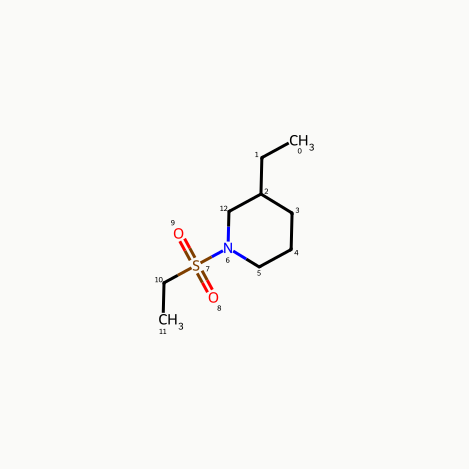 CCC1CCCN(S(=O)(=O)CC)C1